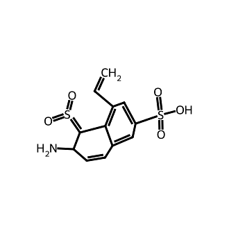 C=Cc1cc(S(=O)(=O)O)cc2c1C(=S(=O)=O)C(N)C=C2